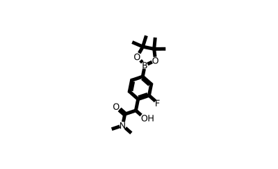 CN(C)C(=O)C(O)c1ccc(B2OC(C)(C)C(C)(C)O2)cc1F